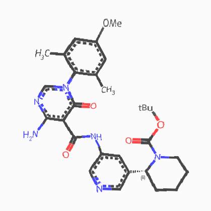 COc1cc(C)c(-n2cnc(N)c(C(=O)Nc3cncc([C@H]4CCCCN4C(=O)OC(C)(C)C)c3)c2=O)c(C)c1